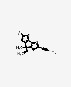 C=CC1(C)c2cc(C)sc2-c2sc(C#CC)cc21